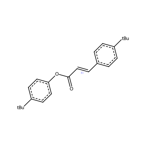 CC(C)(C)c1ccc(/C=C/C(=O)Oc2ccc(C(C)(C)C)cc2)cc1